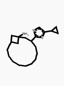 NC12CC(CCCCCCCCCC(c3ncc(C4CC4)s3)C1)C2